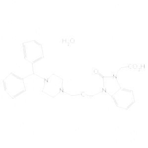 O.O=C(O)Cn1c(=O)n(CCCN2CCN(C(c3ccccc3)c3ccccc3)CC2)c2ccccc21